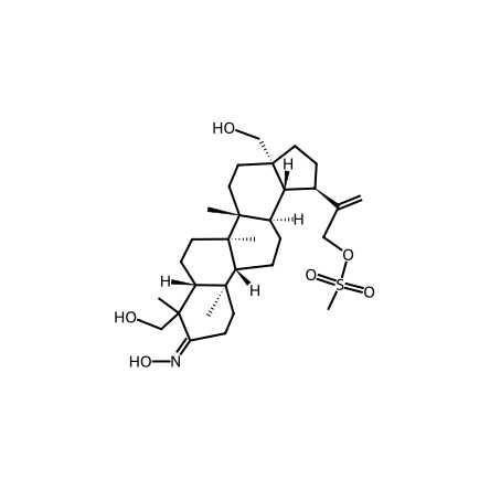 C=C(COS(C)(=O)=O)[C@@H]1CC[C@]2(CO)CC[C@]3(C)[C@H](CC[C@@H]4[C@@]5(C)CC/C(=N/O)C(C)(CO)[C@@H]5CC[C@]43C)[C@@H]12